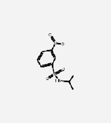 CC(C)NS(=O)(=O)c1cccc([N+](=O)[O-])c1